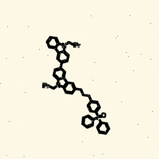 CC(C)Cn1c2ccccc2c2cc(-c3ccc4c(c3)c3cc(CCCc5ccc(P(=O)(c6ccccc6)c6ccccc6)cc5)ccc3n4CC(C)C)ccc21